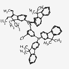 C=CC1=C(C=C)C(C)(C)c2cc(N(c3cc(Cl)cc(N(c4ccc5c(c4)C(C)(C)c4ccccc4-5)c4ccc5c(c4)C(C)(C)c4ccccc4-5)c3)c3ccc4c(c3)C(C)(C)c3ccccc3-4)ccc21